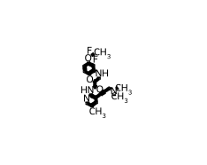 Cc1cnc(NC(=O)C2CNc3cc(OC(C)(F)F)ccc3O2)c(C#CCN(C)C)c1